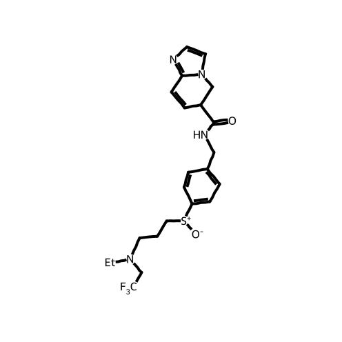 CCN(CCC[S+]([O-])c1ccc(CNC(=O)C2C=Cc3nccn3C2)cc1)CC(F)(F)F